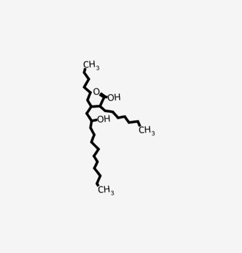 CCCCCCCCCCC(O)CC(CCCCCC)C(CCCCCCC)C(=O)O